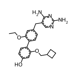 CCOc1cc(Cc2cnc(N)nc2N)ccc1-c1ccc(O)cc1OCC1CCC1